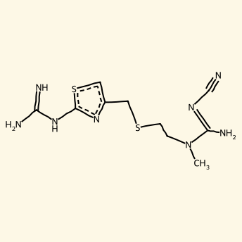 CN(CCSCc1csc(NC(=N)N)n1)C(N)=NC#N